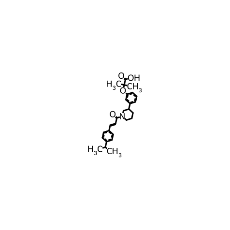 CC(C)c1ccc(/C=C/C(=O)N2CCCC(c3cccc(OC(C)(C)C(=O)O)c3)C2)cc1